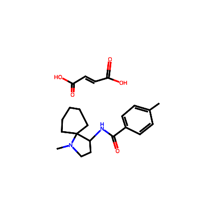 Cc1ccc(C(=O)NC2CCN(C)C23CCCCC3)cc1.O=C(O)/C=C/C(=O)O